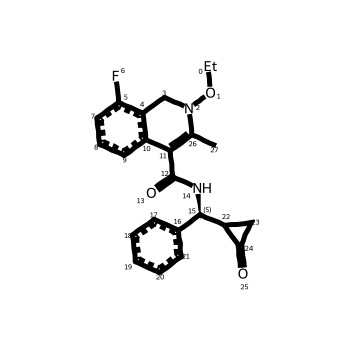 CCON1Cc2c(F)cccc2C(C(=O)N[C@H](c2ccccc2)C2CC2=O)=C1C